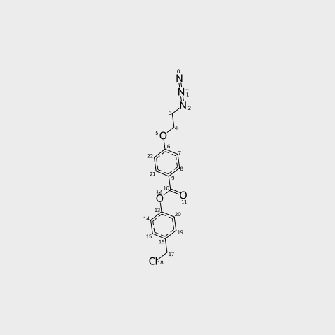 [N-]=[N+]=NCCOc1ccc(C(=O)Oc2ccc(CCl)cc2)cc1